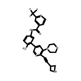 Cc1ccc(NC(=O)c2ccnc(C(F)(F)F)c2)cc1-c1cnc(C#CC2CNC2)c(N2CCOCC2)c1